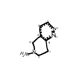 NN1CCc2nnccc2C1